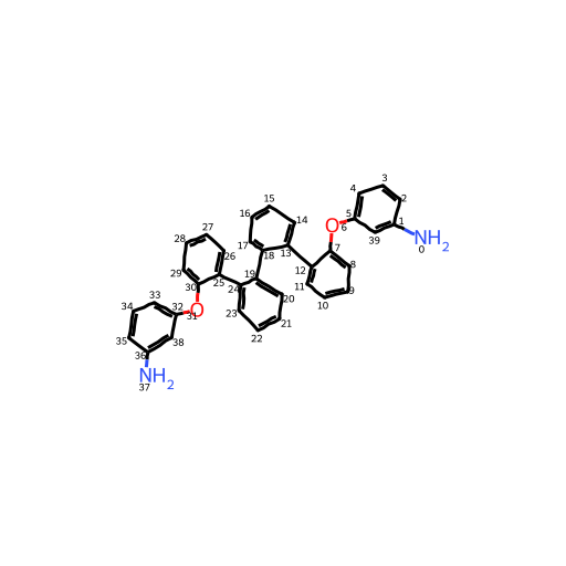 Nc1cccc(Oc2ccccc2-c2ccccc2-c2ccccc2-c2ccccc2Oc2cccc(N)c2)c1